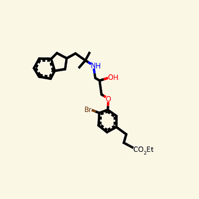 CCOC(=O)CCc1ccc(Br)c(OCC(O)CNC(C)(C)CC2Cc3ccccc3C2)c1